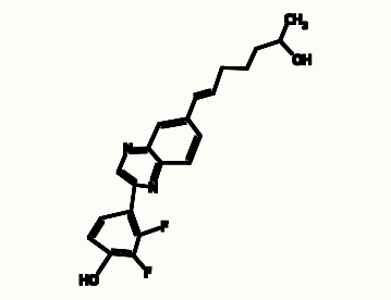 CC(O)CCC/C=C/c1ccc2nc(-c3ccc(O)c(F)c3F)cnc2c1